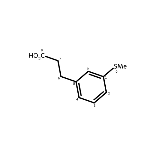 CSc1cccc(CCC(=O)O)c1